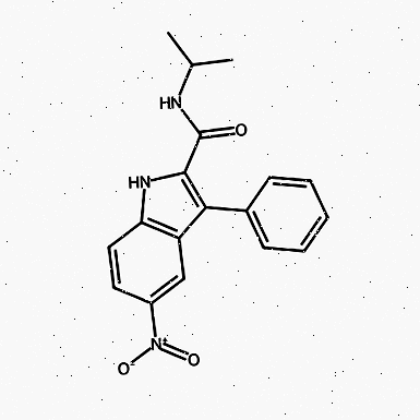 CC(C)NC(=O)c1[nH]c2ccc([N+](=O)[O-])cc2c1-c1ccccc1